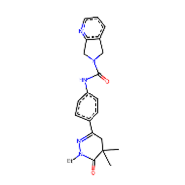 CCN1N=C(c2ccc(NC(=O)N3Cc4cccnc4C3)cc2)CC(C)(C)C1=O